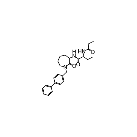 CCC(=O)NC(CC)C(=O)NC1CCCCN(Cc2ccc(-c3ccccc3)cc2)C1=O